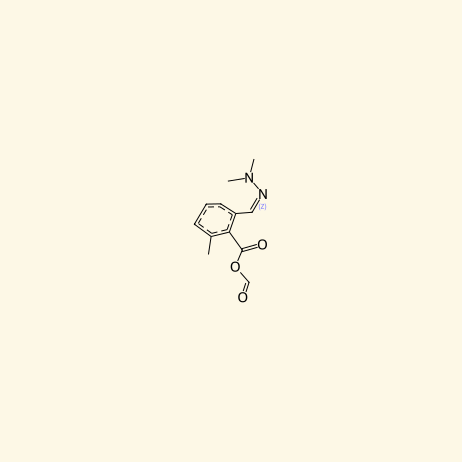 Cc1cccc(/C=N\N(C)C)c1C(=O)OC=O